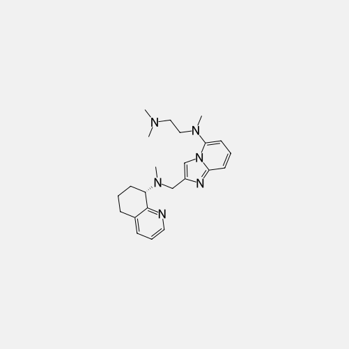 CN(C)CCN(C)c1cccc2nc(CN(C)[C@H]3CCCc4cccnc43)cn12